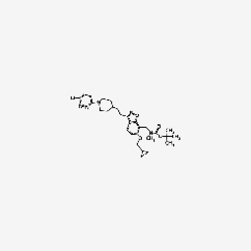 CN(Cc1c(OCC2CC2)ccc2c(CCC3CCN(c4ccc(Cl)nn4)CC3)noc12)C(=O)OC(C)(C)C